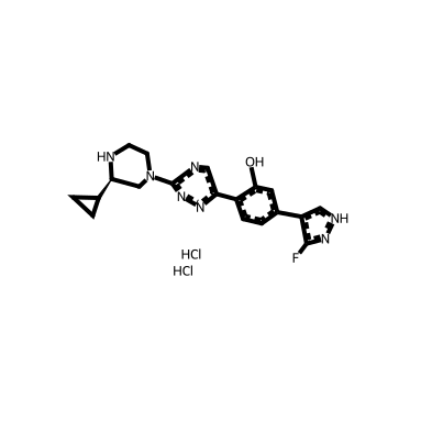 Cl.Cl.Oc1cc(-c2c[nH]nc2F)ccc1-c1cnc(N2CCN[C@H](C3CC3)C2)nn1